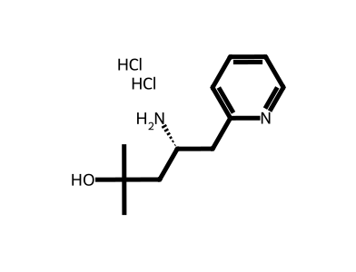 CC(C)(O)C[C@H](N)Cc1ccccn1.Cl.Cl